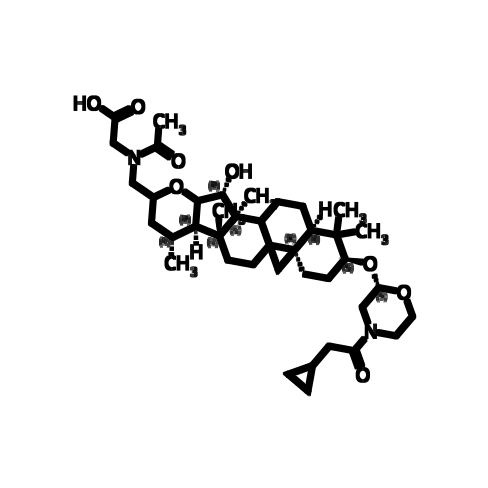 CC(=O)N(CC(=O)O)CC1C[C@@H](C)[C@H]2C(O1)[C@H](O)[C@@]1(C)C3CC[C@H]4C(C)(C)[C@@H](O[C@H]5CN(C(=O)CC6CC6)CCO5)CC[C@@]45CC35CC[C@]21C